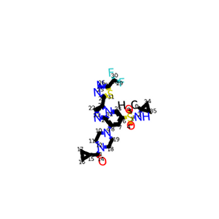 CC1(NS(=O)(=O)c2cc(N3CCN(C(=O)C4CC4)CC3)c3ncc(-c4nnc(C(F)F)s4)n3c2)CC1